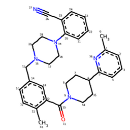 Cc1cccc(C2CCN(C(=O)c3cc(CN4CCN(c5ccccc5C#N)CC4)ccc3C)CC2)n1